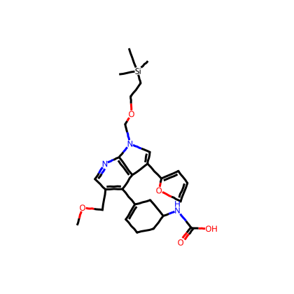 COCc1cnc2c(c(-c3ccco3)cn2COCC[Si](C)(C)C)c1C1=CCCC(NC(=O)O)C1